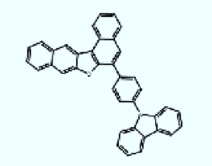 c1ccc2cc3c(cc2c1)oc1c(-c2ccc(-n4c5ccccc5c5ccccc54)cc2)cc2ccccc2c13